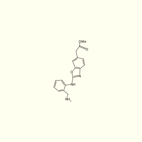 COC(=O)Cc1ccc2nc(Nc3ccccc3CN)oc2c1